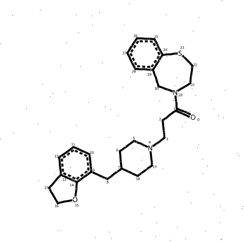 O=C(CCN1CCC(Cc2cccc3c2OCC3)CC1)N1CCSc2ccccc2C1